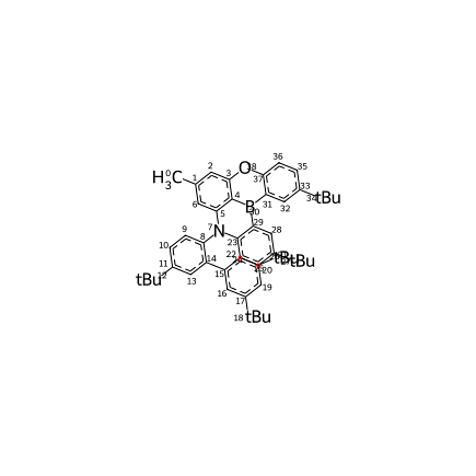 Cc1cc2c3c(c1)N(c1ccc(C(C)(C)C)cc1-c1cc(C(C)(C)C)cc(C(C)(C)C)c1)c1ccc(C(C)(C)C)cc1B3c1cc(C(C)(C)C)ccc1O2